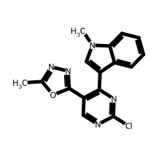 Cc1nnc(-c2cnc(Cl)nc2-c2cn(C)c3ccccc23)o1